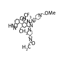 C=CC(=O)N1CC2(CCN(c3nc(N4CC5(CCN(CCOC)CC5)C4)nc4c(OCC(F)(F)F)c(-c5c(C)ccc6[nH]ncc56)c(C=C)cc34)CC2)C1